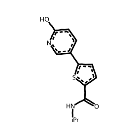 CC(C)NC(=O)c1ccc(-c2ccc(O)nc2)s1